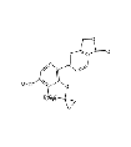 CCOC(=O)C1(Oc2c(-c3ccc4c(c3)COC4=O)ccc(OC)c2OC)CC1